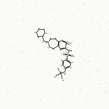 Cl.O=S(=O)(Nc1ccc2c(c1)CCN(CC1CCCCC1)CC2)c1ccc(OC(F)(F)F)cc1